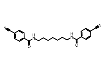 N#Cc1ccc(C(=O)NCCCCCCCNC(=O)c2ccc(C#N)cc2)cc1